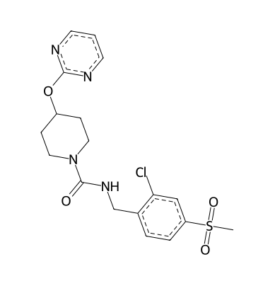 CS(=O)(=O)c1ccc(CNC(=O)N2CCC(Oc3ncccn3)CC2)c(Cl)c1